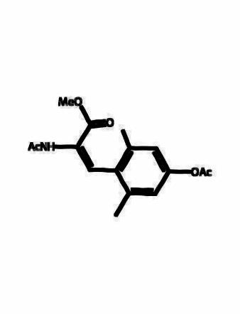 COC(=O)/C(=C\c1c(C)cc(OC(C)=O)cc1C)NC(C)=O